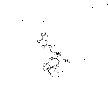 C=C(C)C(=O)[O-].C=C(C)C(=O)[O-].CCOC(=O)CC(C)=O.[Cu+2]